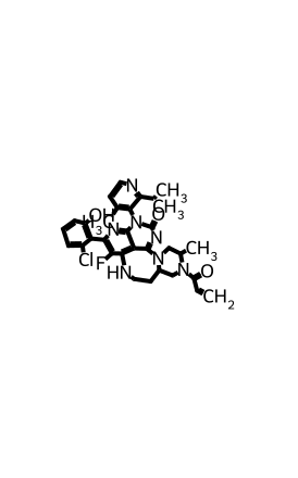 C=CC(=O)N1CC2CCNc3c(F)c(-c4c(O)cccc4Cl)nc4c3c(nc(=O)n4-c3c(C)ccnc3C(C)C)N2CC1C